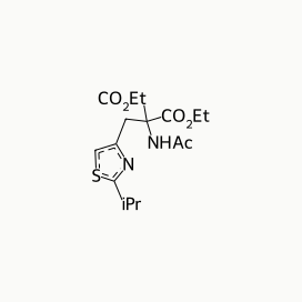 CCOC(=O)C(Cc1csc(C(C)C)n1)(NC(C)=O)C(=O)OCC